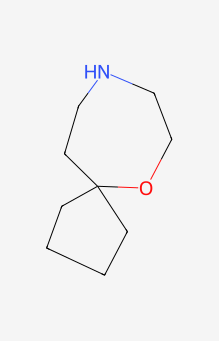 C1CCC2(C1)CCNCCO2